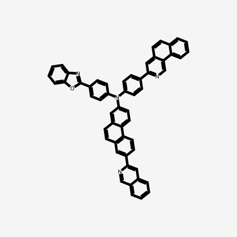 c1ccc2cc(-c3ccc4c(ccc5cc(N(c6ccc(-c7cc8ccc9ccccc9c8cn7)cc6)c6ccc(-c7nc8ccccc8o7)cc6)ccc54)c3)ncc2c1